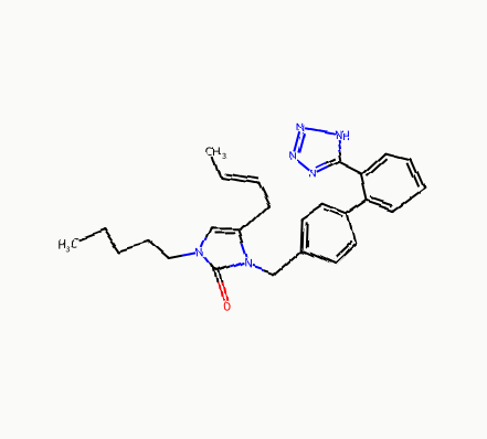 C/C=C/Cc1cn(CCCCC)c(=O)n1Cc1ccc(-c2ccccc2-c2nnn[nH]2)cc1